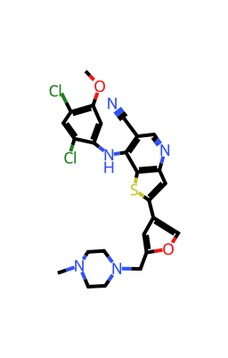 COc1cc(Nc2c(C#N)cnc3cc(-c4coc(CN5CCN(C)CC5)c4)sc23)c(Cl)cc1Cl